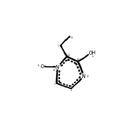 CCc1c(O)ncc[n+]1[O-]